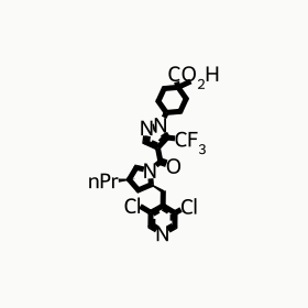 CCC[C@@H]1C[C@H](Cc2c(Cl)cncc2Cl)N(C(=O)c2cnn(C3CCC(C)(C(=O)O)CC3)c2C(F)(F)F)C1